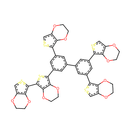 c1c(-c2cc(-c3scc4c3OCCO4)cc(-c3sc(-c4scc5c4OCCO5)c4c3OCCO4)c2)cc(-c2scc3c2OCCO3)cc1-c1scc2c1OCCO2